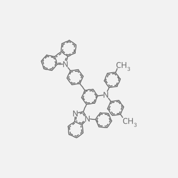 Cc1ccc(N(c2ccc(C)cc2)c2cc(-c3ccc(-n4c5ccccc5c5ccccc54)cc3)cc(-c3nc4ccccc4n3-c3ccccc3)c2)cc1